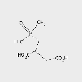 CP(C)(=O)CC(CC(=O)O)C(=O)O